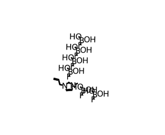 C=CCN1C=CN(C)C1.OB(O)F.OB(O)F.OB(O)F.OB(O)F.OB(O)F.OB(O)F